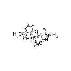 Cc1nn(C)c(F)c1C(=O)N(Cc1ccccc1C(C)C)C1CC1